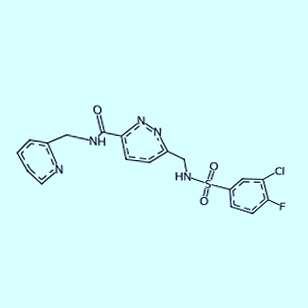 O=C(NCc1ccccn1)c1ccc(CNS(=O)(=O)c2ccc(F)c(Cl)c2)nn1